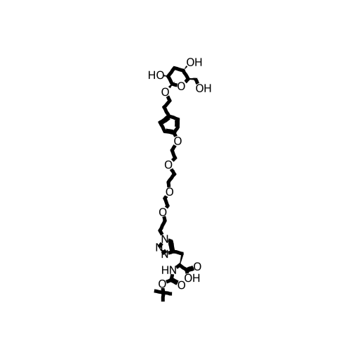 CC(C)(C)OC(=O)N[C@@H](Cc1cn(CCOCCOCCOCCOc2ccc(CCO[C@@H]3O[C@H](CO)[C@@H](O)C[C@H]3O)cc2)nn1)C(=O)O